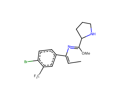 C/C=C(\N=C(/OC)C1CCCN1)c1ccc(Br)c(C(F)(F)F)c1